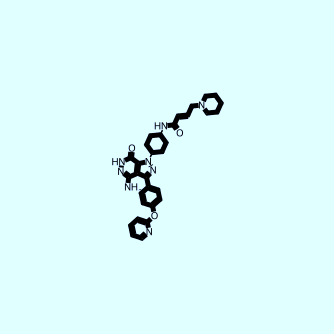 Nc1n[nH]c(=O)c2c1c(-c1ccc(Oc3ccccn3)cc1)nn2[C@H]1CC[C@@H](NC(=O)/C=C/CN2CCCCC2)CC1